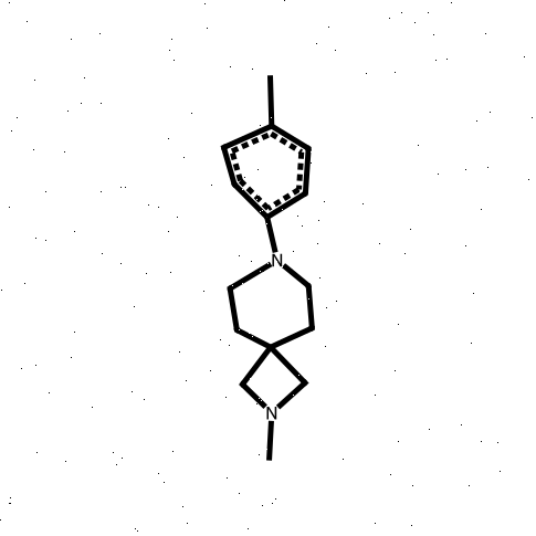 Cc1ccc(N2CCC3(CC2)CN(C)C3)cc1